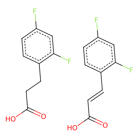 O=C(O)C=Cc1ccc(F)cc1F.O=C(O)CCc1ccc(F)cc1F